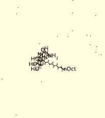 CCCCCCCCC=CCCCCCCCC[C@@]1(n2cnc3c(=O)[nH]c(N)nc32)O[C@H](CO)[C@@H](O)[C@H]1O